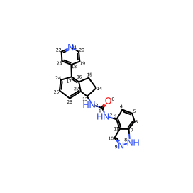 O=C(Nc1cccc2[nH]ncc12)NC1CCc2c(-c3ccncc3)cccc21